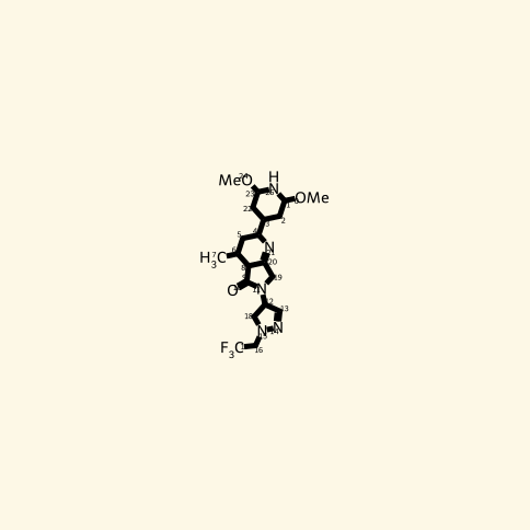 COC1CC(C2CC(C)C3C(=O)N(C4C=NN(CC(F)(F)F)C4)CC3=N2)CC(OC)N1